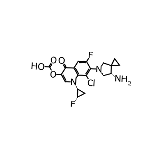 N[C@@H]1CN(c2c(F)cc3c(=O)c(OC(=O)O)cn([C@@H]4C[C@@H]4F)c3c2Cl)CC12CC2